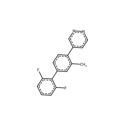 Cc1cc(-c2c(F)cccc2F)ccc1-c1ccnnc1